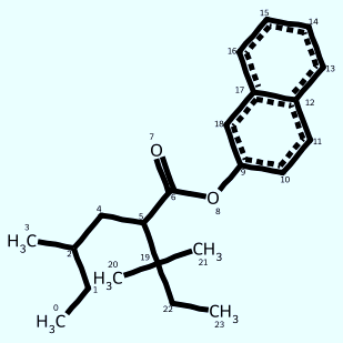 CCC(C)CC(C(=O)Oc1ccc2ccccc2c1)C(C)(C)CC